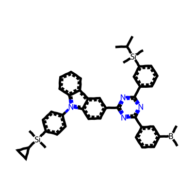 CB(C)c1cccc(-c2nc(-c3cccc([Si](C)(C)C(C)C)c3)nc(-c3ccc4c(c3)c3ccccc3n4-c3ccc([Si](C)(C)C4CC4)cc3)n2)c1